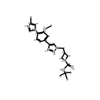 COc1cc(-c2cn(CC3CN(C(=O)OC(C)(C)C)C3)nn2)ccc1-n1cnc(C)c1